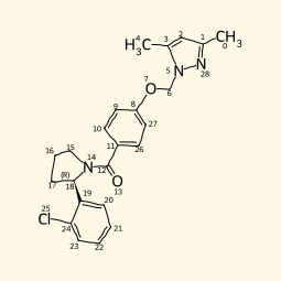 Cc1cc(C)n(COc2ccc(C(=O)N3CCC[C@@H]3c3ccccc3Cl)cc2)n1